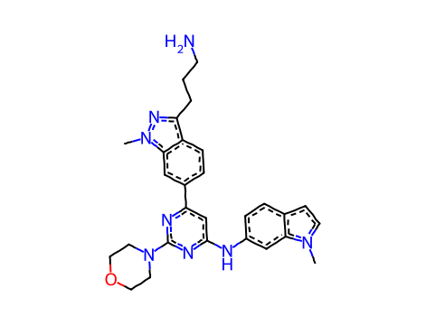 Cn1ccc2ccc(Nc3cc(-c4ccc5c(CCCN)nn(C)c5c4)nc(N4CCOCC4)n3)cc21